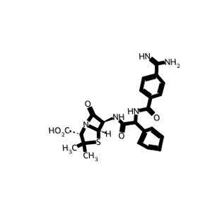 CC1(C)S[C@@H]2[C@H](NC(=O)C(NC(=O)c3ccc(C(=N)N)cc3)c3ccccc3)C(=O)N2[C@H]1C(=O)O